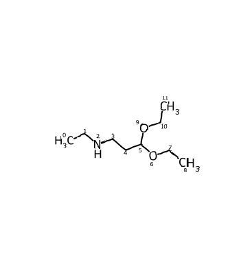 CCNCCC(OCC)OCC